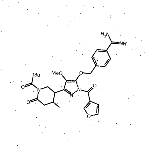 COc1c(C2CN(C(=O)C(C)(C)C)C(=O)CC2C)nn(C(=O)c2ccoc2)c1OCc1ccc(C(=N)N)cc1